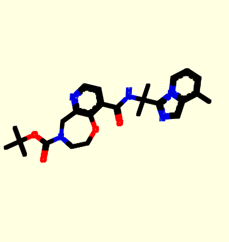 Cc1cccn2c(C(C)(C)NC(=O)c3ccnc4c3OCCN(C(=O)OC(C)(C)C)C4)ncc12